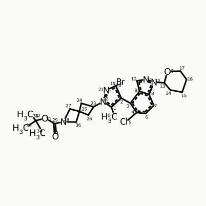 Cc1c(-c2c(Cl)ccc3c2cnn3C2CCCCO2)c(Br)nn1C1CC2(C1)CN(C(=O)OC(C)(C)C)C2